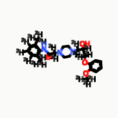 [2H]c1c([2H])c(C([2H])([2H])[2H])c(NC(=O)C([2H])([2H])N2CCN(C([2H])([2H])C([2H])(O)C([2H])([2H])Oc3ccccc3OC([2H])([2H])[2H])CC2)c(C([2H])([2H])[2H])c1[2H]